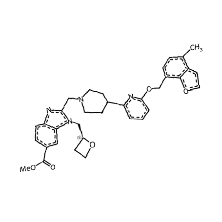 COC(=O)c1ccc2nc(CN3CCC(c4cccc(OCc5ccc(C)c6ccoc56)n4)CC3)n(C[C@@H]3CCO3)c2c1